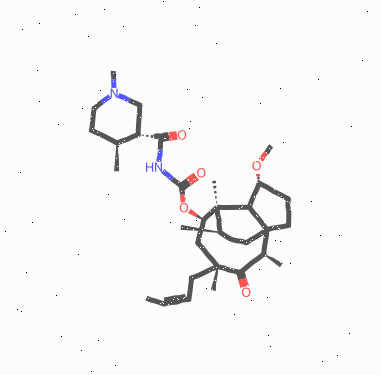 C/C=C\C[C@]1(C)C[C@@H](OC(=O)NC(=O)[C@H]2CN(C)CC[C@@H]2C)[C@@]2(C)C3[C@H](OC)CCC3(CC[C@H]2C)[C@@H](C)C1=O